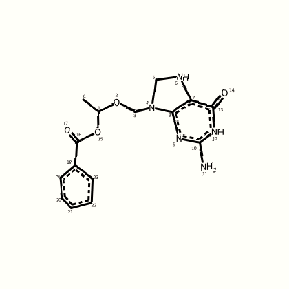 CC(OCN1CNc2c1nc(N)[nH]c2=O)OC(=O)c1ccccc1